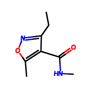 CCc1noc(C)c1C(=O)NC